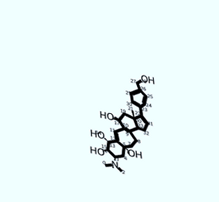 CN(C)[C@H]1C[C@]2(O)CCC3=C(C=C2[C@@H](O)[C@@H]1O)C(O)C[C@]1(C)C(c2ccc(CO)cc2)=CCC31